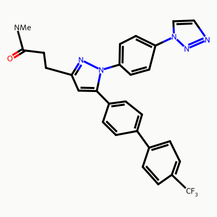 CNC(=O)CCc1cc(-c2ccc(-c3ccc(C(F)(F)F)cc3)cc2)n(-c2ccc(-n3ccnn3)cc2)n1